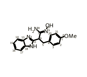 COc1ccc(CC(/C(N)=N/O)c2nc3ccccc3[nH]2)cc1